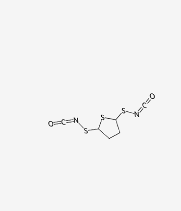 O=C=NSC1CCC(SN=C=O)S1